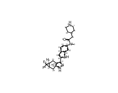 CN(C(=O)CC1CCNCC1)c1ccc2cc(-c3n[nH]c4c3C[C@@H]3C(F)(F)[C@]3(C)C4)[nH]c2c1